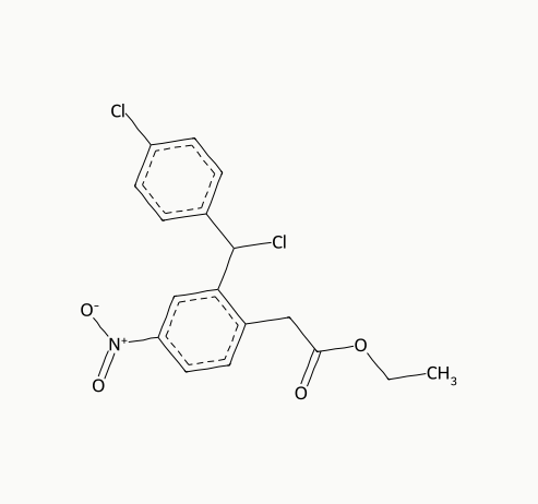 CCOC(=O)Cc1ccc([N+](=O)[O-])cc1C(Cl)c1ccc(Cl)cc1